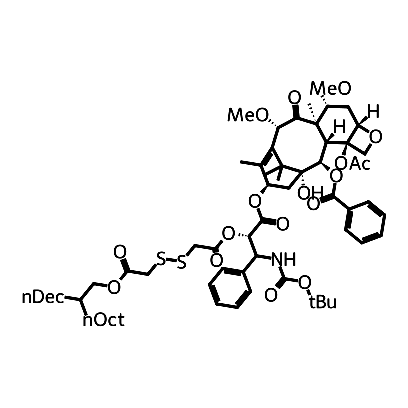 CCCCCCCCCCC(CCCCCCCC)COC(=O)CSSCC(=O)O[C@H](C(=O)O[C@@H]1C[C@]2(O)[C@H](OC(=O)c3ccccc3)[C@H]3[C@@]4(OC(C)=O)CO[C@H]4C[C@@H](OC)[C@]3(C)C(=O)[C@@H](OC)C(=C1C)C2(C)C)C(NC(=O)OC(C)(C)C)c1ccccc1